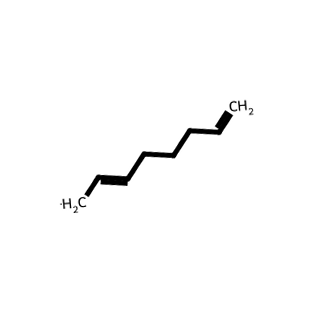 [CH2]C=CCCCC=C